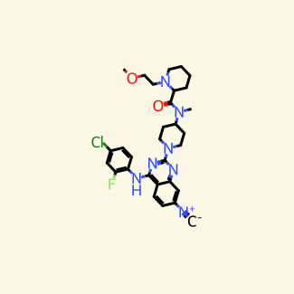 [C-]#[N+]c1ccc2c(Nc3ccc(Cl)cc3F)nc(N3CCC(N(C)C(=O)C4CCCCN4CCOC)CC3)nc2c1